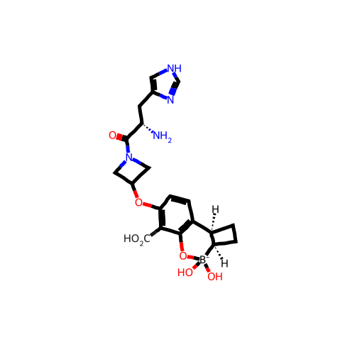 N[C@@H](Cc1c[nH]cn1)C(=O)N1CC(Oc2ccc3c(c2C(=O)O)O[B-](O)(O)[C@@H]2CC[C@H]32)C1